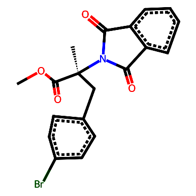 COC(=O)[C@](C)(Cc1ccc(Br)cc1)N1C(=O)c2ccccc2C1=O